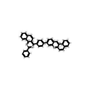 c1ccc(-c2nc(-c3ccc(-c4ccc5cc6c(ccc7ccccc76)nc5c4)cc3)c3ccc4ccccc4c3n2)cc1